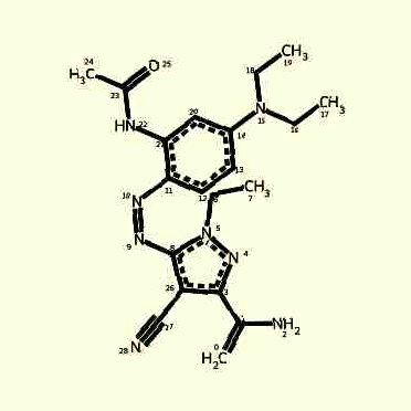 C=C(N)c1nn(CC)c(/N=N\c2ccc(N(CC)CC)cc2NC(C)=O)c1C#N